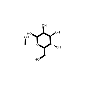 CO.OC[C@H]1OC(O)[C@@H](O)[C@@H](O)[C@@H]1O